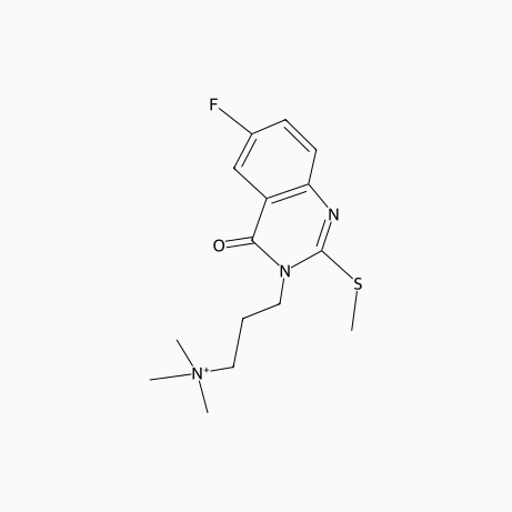 CSc1nc2ccc(F)cc2c(=O)n1CCC[N+](C)(C)C